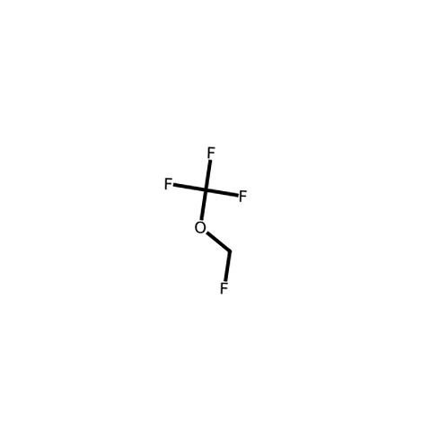 FCOC(F)(F)F